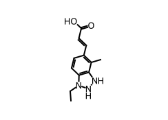 CCN1NNc2c1ccc(/C=C/C(=O)O)c2C